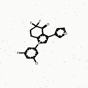 O=C1c2c(-c3ccoc3)cn(-c3cc(F)cc(Cl)c3)c2CCC1(F)F